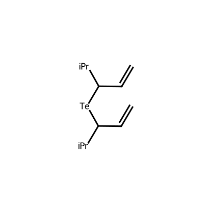 C=CC([Te]C(C=C)C(C)C)C(C)C